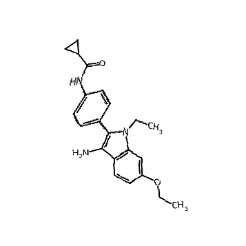 CCOc1ccc2c(N)c(-c3ccc(NC(=O)C4CC4)cc3)n(CC)c2c1